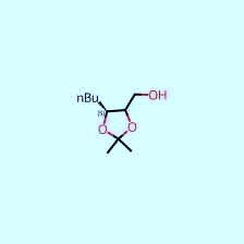 CCCC[C@@H]1OC(C)(C)OC1CO